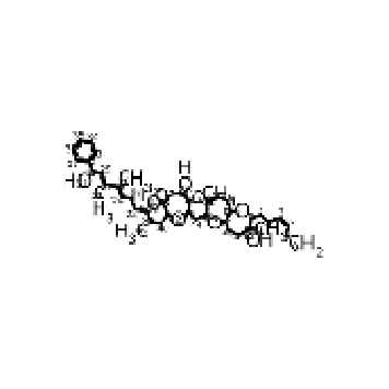 C=C/C=C\CCC1OC2CCC3(C)OC4C(O)CC5(C)OC(CC/C=C(C)/C(C)=C/C(O)c6ccccc6)C(C)CC5OC4CC3OC2CCC1(C)O